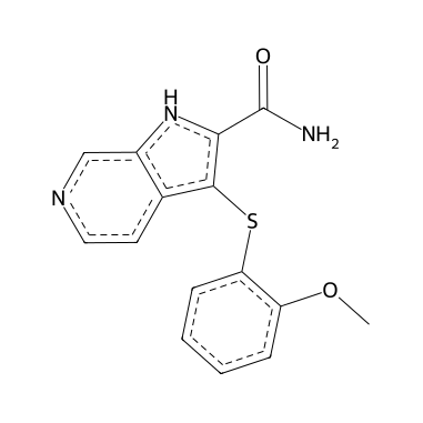 COc1ccccc1Sc1c(C(N)=O)[nH]c2cnccc12